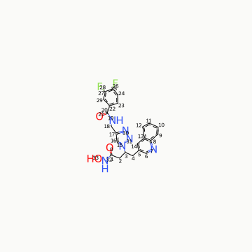 O=C(CC(Cc1cnc2ccccc2c1)n1cc(CNC(=O)c2ccc(F)c(F)c2)nn1)NO